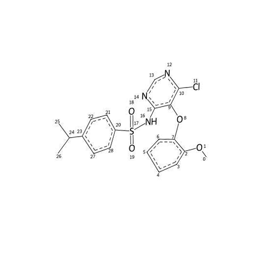 COc1ccccc1Oc1c(Cl)ncnc1NS(=O)(=O)c1ccc(C(C)C)cc1